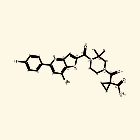 CC(C)(C)c1cc(-c2ccc(F)cc2)nc2cc(C(=O)N3CCN(C(=O)C4(C(N)=O)CC4)CC3(C)C)oc12